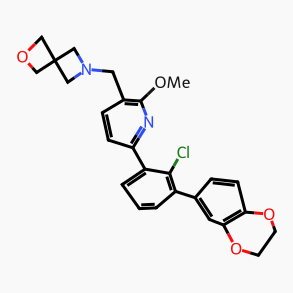 COc1nc(-c2cccc(-c3ccc4c(c3)OCCO4)c2Cl)ccc1CN1CC2(COC2)C1